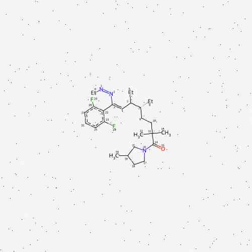 CC/N=N\C(=C/C(CC)[C@H](CC)CCC(C)(C)C(=O)N1CCC(C)C1)c1c(F)cccc1F